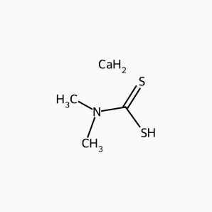 CN(C)C(=S)S.[CaH2]